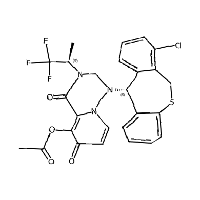 CC(=O)Oc1c2n(ccc1=O)N([C@H]1c3ccccc3SCc3c(Cl)cccc31)CN([C@H](C)C(F)(F)F)C2=O